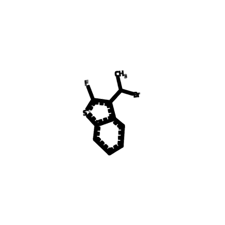 CC(Br)c1c(F)sc2ccccc12